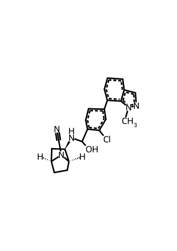 Cn1ncc2cccc(-c3ccc(C(O)N[C@@H]4C[C@@H]5CC[C@H]4N5C#N)c(Cl)c3)c21